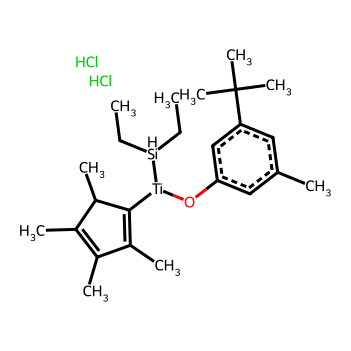 CC[SiH](CC)[Ti]([O]c1cc(C)cc(C(C)(C)C)c1)[C]1=C(C)C(C)=C(C)C1C.Cl.Cl